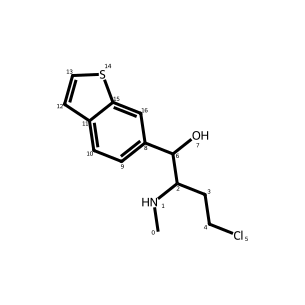 CNC(CCCl)C(O)c1ccc2ccsc2c1